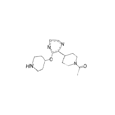 CC(=O)N1CCC(c2nccnc2OC2CCNCC2)CC1